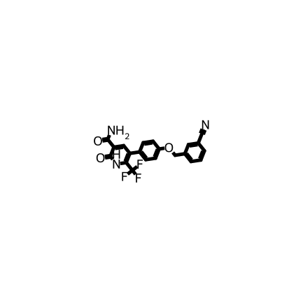 N#Cc1cccc(COc2ccc(-c3cc(C(N)=O)c(=O)[nH]c3C(F)(F)F)cc2)c1